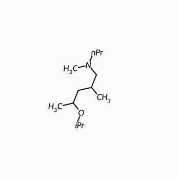 CCCN(C)CC(C)CC(C)OC(C)C